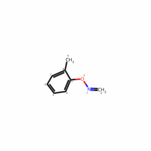 C=NOc1ccccc1C